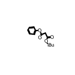 CCC(C)OC(=O)CC(=O)Oc1ccccc1